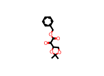 CC1(C)OCC(C(=O)C(=O)OCc2ccccc2)O1